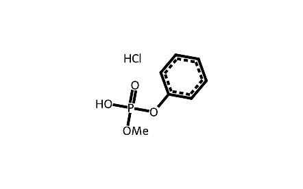 COP(=O)(O)Oc1ccccc1.Cl